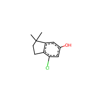 CC1(C)CCc2c(Cl)cc(O)cc21